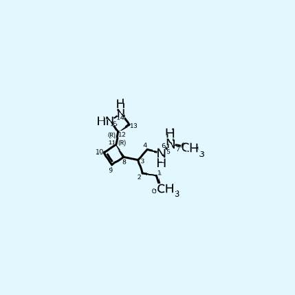 CCCC(CNNC)C1C=C[C@H]1[C@@H]1CNN1